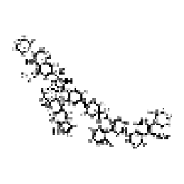 COc1c(N2CCOC[C@@H]2C)ncc2c1COC[C@@H]2N1CCN(C2CC3(CCN(c4ccc(C(=O)NS(=O)(=O)c5cc6c(c([N+](=O)[O-])c5)N[C@H](C5CCOCC5)CO6)c(N5c6cc7cc[nH]c7nc6O[C@H]6COCC[C@@H]65)c4)CC3)C2)[C@H](c2ccccc2C)C1